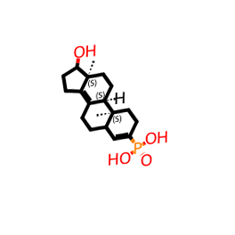 C[C@]12CC[C@@H]3C(=C1CCC2O)CCC1C=C(P(=O)(O)O)CC[C@@]13C